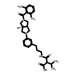 Cc1cccc(C)c1C(=O)N1CC2CN(c3cccc(CCCNC(=O)C(C(=O)O)C(C)C)c3)C[C@H]2C1